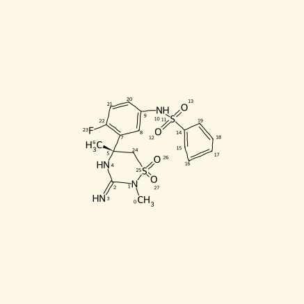 CN1C(=N)N[C@](C)(c2cc(NS(=O)(=O)c3ccccc3)ccc2F)CS1(=O)=O